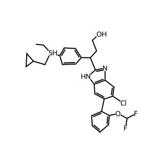 CC[SH](CC1CC1)c1ccc(C(CCO)c2nc3cc(Cl)c(-c4ccccc4OC(F)F)cc3[nH]2)cc1